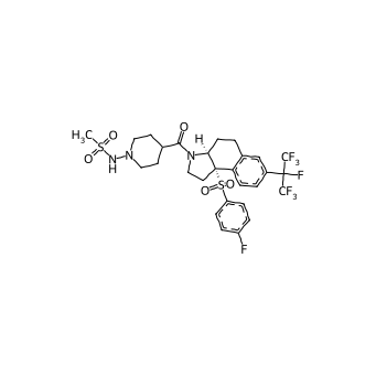 CS(=O)(=O)NN1CCC(C(=O)N2CC[C@]3(S(=O)(=O)c4ccc(F)cc4)c4ccc(C(F)(C(F)(F)F)C(F)(F)F)cc4CC[C@H]23)CC1